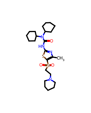 Cc1nc(NC(=O)N(C2CCCCC2)C2CCCCC2)sc1S(=O)(=O)CCN1CCCCC1